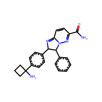 NC(=O)C1=NN2C(=NC(c3ccc(C4(N)CCC4)cc3)C2c2ccccc2)C=C1